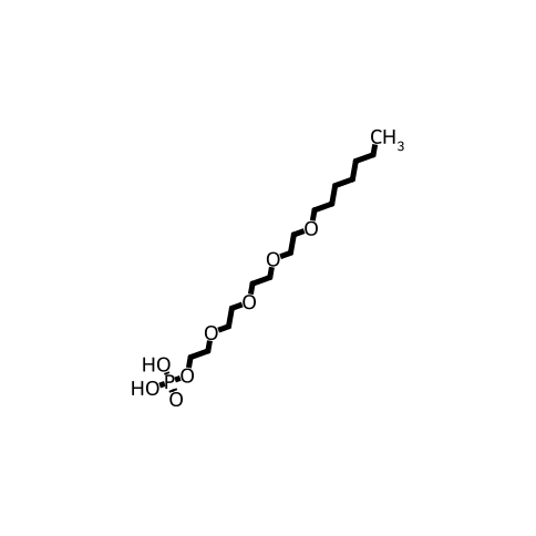 CCCCCCCOCCOCCOCCOCCOP(=O)(O)O